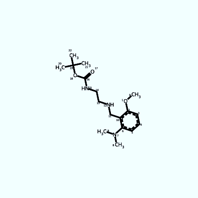 COc1cccc(N(C)C)c1CNCCNC(=O)OC(C)(C)C